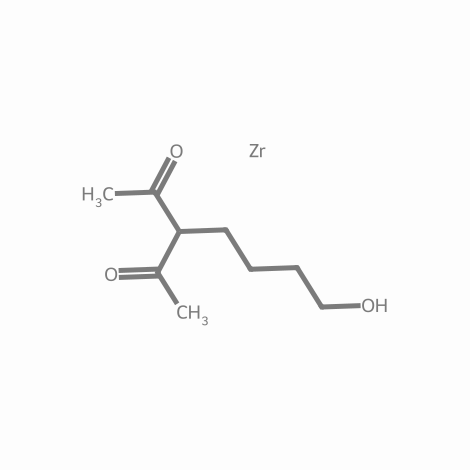 CC(=O)C(CCCCO)C(C)=O.[Zr]